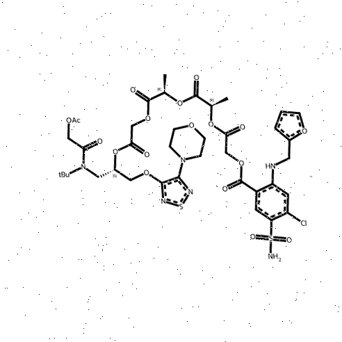 CC(=O)OCC(=O)N(C[C@@H](COc1nsnc1N1CCOCC1)OC(=O)COC(=O)[C@@H](C)OC(=O)[C@@H](C)OC(=O)COC(=O)c1cc(S(N)(=O)=O)c(Cl)cc1NCc1ccco1)C(C)(C)C